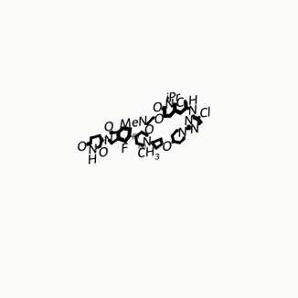 CNC(=O)COc1cc2cc(Nc3nc(N4CCC(OC5CC(N6CC[C@@H](c7ccc8c(c7F)CN([C@H]7CCC(=O)NC7=O)C8=O)C[C@H]6C)C5)CC4)ncc3Cl)ccc2n(C(C)C)c1=O